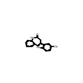 N#Cc1ccc2[nH]c3c(c2c1)CC(=O)Nc1ccccc1-3